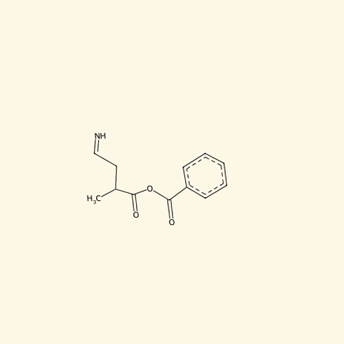 CC(CC=N)C(=O)OC(=O)c1ccccc1